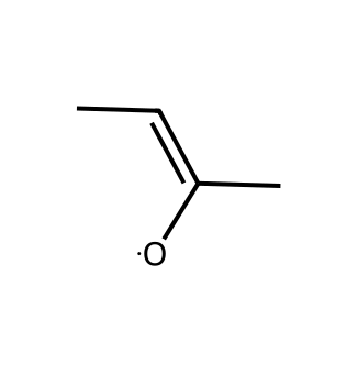 C/C=C(/C)[O]